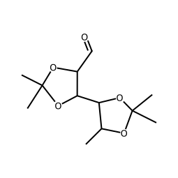 CC1OC(C)(C)OC1C1OC(C)(C)OC1C=O